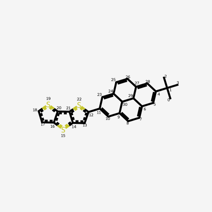 CC(C)(C)C1=CC2=CC=C3C=C(c4cc5sc6ccsc6c5s4)C=C4C=CC(=C1)C2C34